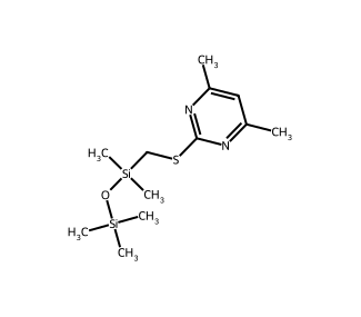 Cc1cc(C)nc(SC[Si](C)(C)O[Si](C)(C)C)n1